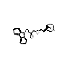 O=C(COCC=C1CN2CCC1CC2)On1c2ccccc2c2ccccc21